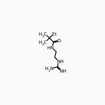 CCC(C)(C)C(=O)NCCNC(=N)N